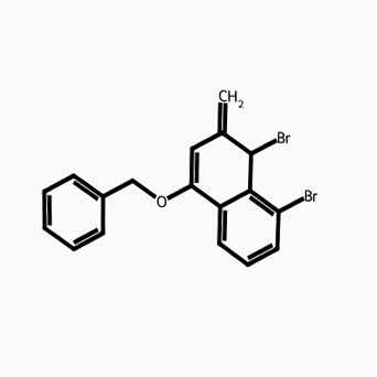 C=C1C=C(OCc2ccccc2)c2cccc(Br)c2C1Br